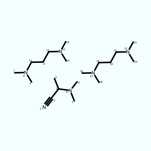 CC(C#N)N(C)C.CN(C)CCCN(C)C.CN(C)CCCN(C)C